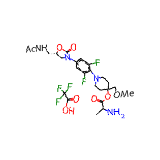 COCC1(OC(=O)C(C)N)CCN(c2c(F)cc(N3C[C@H](CNC(C)=O)OC3=O)cc2F)CC1.O=C(O)C(F)(F)F